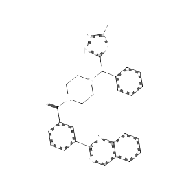 Cc1nnc([C@@H](c2ccccc2)N2CCN(C(=O)c3cccc(-c4ncc5ccccc5n4)c3)CC2)o1